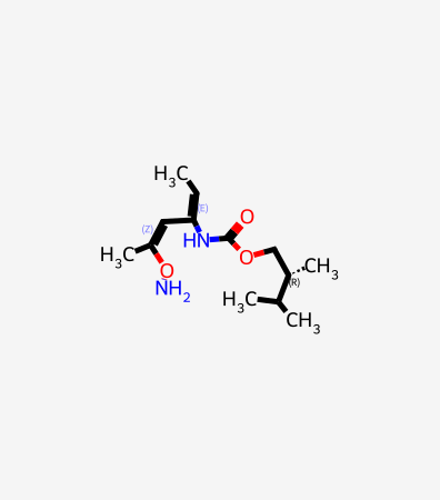 C/C=C(\C=C(\C)ON)NC(=O)OC[C@H](C)C(C)C